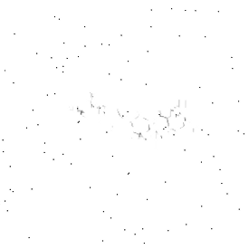 Cn1nc(Cl)cc(Nc2ccc(C3=CCN(C(=O)OC(C)(C)C)CC3)cn2)c1=O